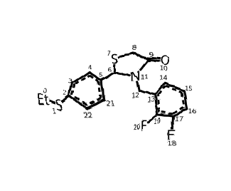 CCSc1ccc(C2SCC(=O)N2Cc2cccc(F)c2F)cc1